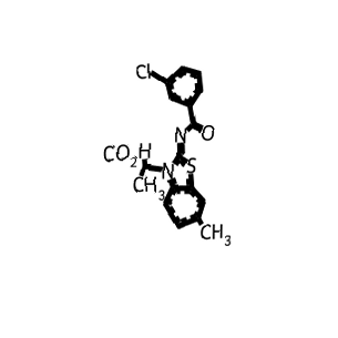 Cc1ccc2c(c1)sc(=NC(=O)c1cccc(Cl)c1)n2C(C)C(=O)O